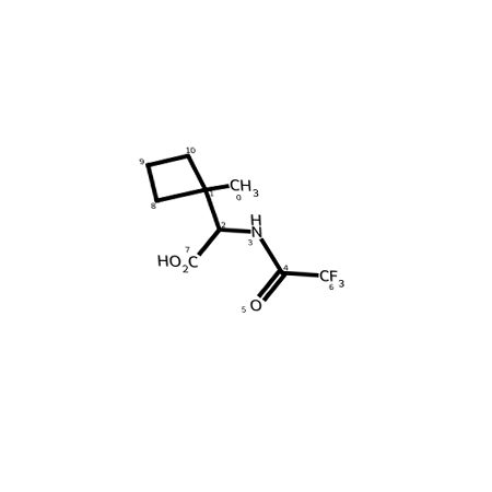 CC1(C(NC(=O)C(F)(F)F)C(=O)O)CCC1